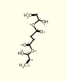 C=CC(O)OC(=O)CCC(=O)OC(O)C=C